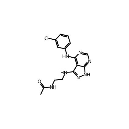 CC(=O)NCCNc1n[nH]c2ncnc(Nc3cccc(Cl)c3)c12